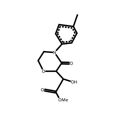 COC(=O)C(O)C1OCCN(c2ccc(C)cc2)C1=O